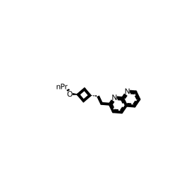 CCCO[C@H]1C[C@H](CCc2ccc3cccnc3n2)C1